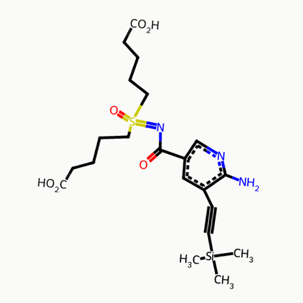 C[Si](C)(C)C#Cc1cc(C(=O)N=S(=O)(CCCCC(=O)O)CCCCC(=O)O)cnc1N